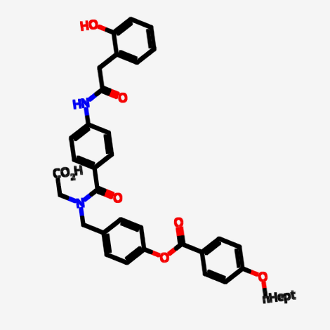 CCCCCCCOc1ccc(C(=O)Oc2ccc(CN(CC(=O)O)C(=O)c3ccc(NC(=O)Cc4ccccc4O)cc3)cc2)cc1